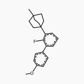 COc1ccc(-c2cccc(C34CCC(C)(CC3)CC4)c2F)cc1